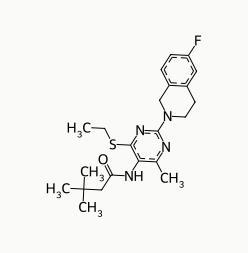 CCSc1nc(N2CCc3cc(F)ccc3C2)nc(C)c1NC(=O)CC(C)(C)C